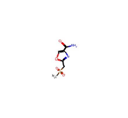 CS(=O)(=O)Cc1nc(C(N)=O)co1